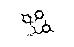 Cc1cc(C)cc(CC(C=O)COC2(Nc3ccccc3)C=CC(=O)C=C2)c1